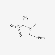 CCCCCCN(F)C(C)[SH](=O)=O